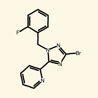 Fc1ccccc1Cn1nc(Br)nc1-c1ccccn1